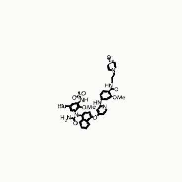 COc1cc(Nc2cc(Oc3ccc(N(C(N)=O)c4cc(C(C)(C)C)cc(NS(C)(=O)=O)c4OC)c4ccccc34)ccn2)ccc1C(=O)NCCCN1C=C[S+]([O-])C=C1